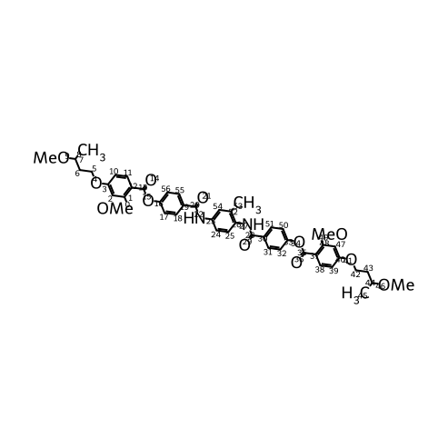 COc1cc(OCCC(C)OC)ccc1C(=O)Oc1ccc(C(=O)Nc2ccc(NC(=O)c3ccc(OC(=O)c4ccc(OCCC(C)OC)cc4OC)cc3)c(C)c2)cc1